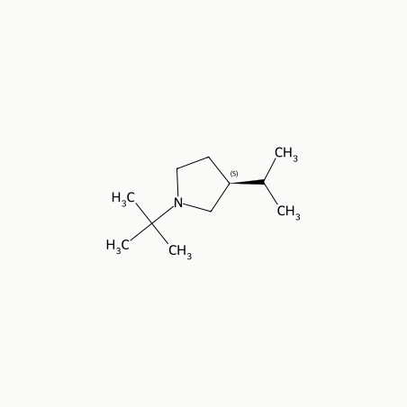 CC(C)[C@@H]1CCN(C(C)(C)C)C1